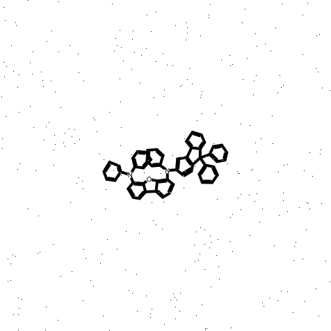 c1c(N(c2ccccc2)c2cccc3c2oc2c(N(c4ccccc4)c4ccccc4)cccc23)cc2c(c#1)C(c1ccccc1)(c1ccccc1)c1ccccc1-2